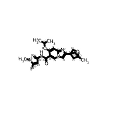 CC(C)Oc1cc2nc(C34COC(C)(C3)C4)cn2cc1C(=O)Nc1cc(F)n(C)n1